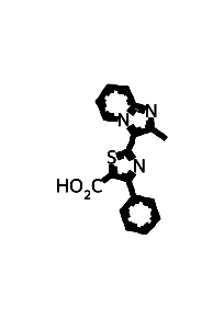 Cc1nc2ccccn2c1-c1nc(-c2ccccc2)c(C(=O)O)s1